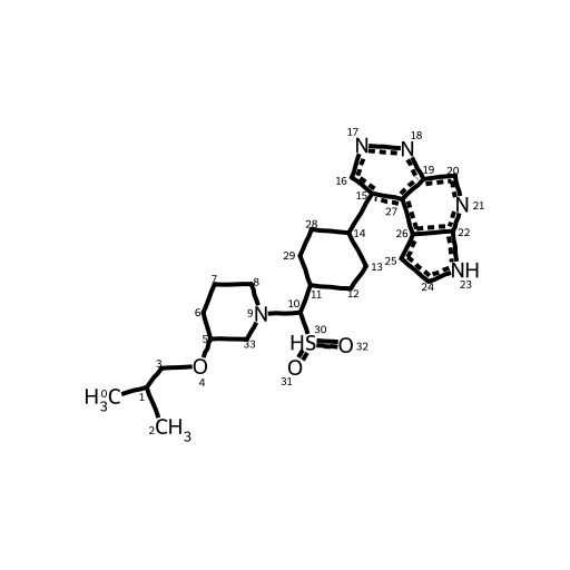 CC(C)COC1CCCN(C(C2CCC(c3cnnc4cnc5[nH]ccc5c34)CC2)[SH](=O)=O)C1